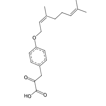 CC(C)=CCCC(C)=CCOc1ccc(CC(=O)C(=O)O)cc1